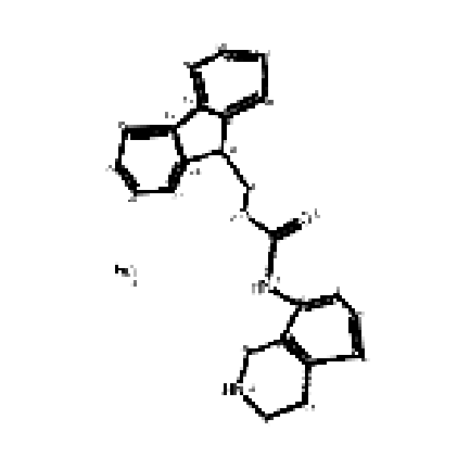 Cl.O=C(Nc1cccc2c1CNCC2)OCC1c2ccccc2-c2ccccc21